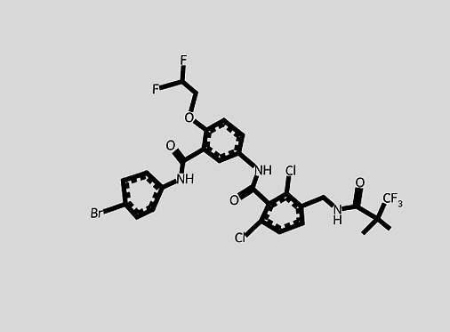 CC(C)(C(=O)NCc1ccc(Cl)c(C(=O)Nc2ccc(OCC(F)F)c(C(=O)Nc3ccc(Br)cc3)c2)c1Cl)C(F)(F)F